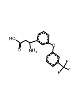 NC(CC(=O)O)c1cccc(Oc2cccc(C(F)(F)F)c2)c1